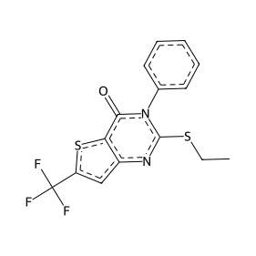 CCSc1nc2cc(C(F)(F)F)sc2c(=O)n1-c1ccccc1